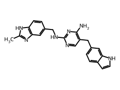 Cc1nc2cc(CNc3ncc(Cc4ccc5cc[nH]c5c4)c(N)n3)ccc2[nH]1